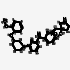 CCOc1ccccc1OC1CCCN(c2cncc(Nc3cccc(CC4(C(=O)O)CCNC4)n3)n2)C1